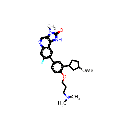 COC1CCC(c2cc(-c3cc4c(cc3F)ncc3c4[nH]c(=O)n3C)ccc2OCCCN(C)C)C1